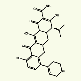 CN(C)[C@@H]1C(O)=C(C(N)=O)C(=O)C2C(O)=C3C(=O)c4c(O)ccc(C5=CCNCC5)c4CC3CC21